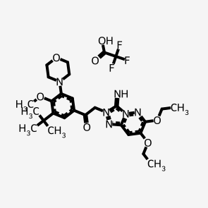 CCOc1cc2nn(CC(=O)c3cc(N4CCOCC4)c(OC)c(C(C)(C)C)c3)c(=N)n2nc1OCC.O=C(O)C(F)(F)F